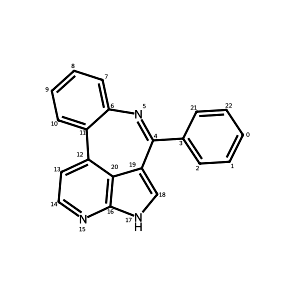 c1ccc(C2=Nc3ccccc3-c3ccnc4[nH]cc2c34)cc1